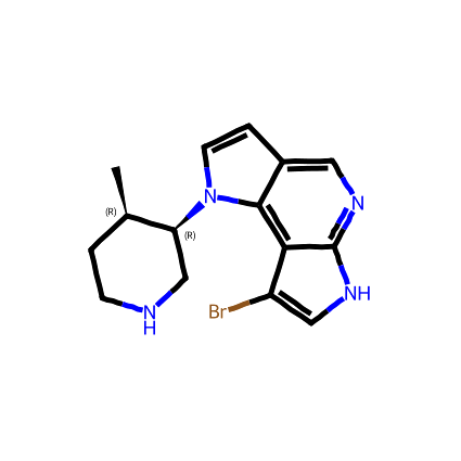 C[C@@H]1CCNC[C@@H]1n1ccc2cnc3[nH]cc(Br)c3c21